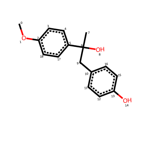 COc1ccc(C(C)(O)[CH]c2ccc(O)cc2)cc1